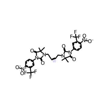 CC1(C)C(=O)N(c2ccc([N+](=O)[O-])c(C(F)(F)F)c2)C(=O)N1C/C=C\CN1C(=O)N(c2ccc([N+](=O)[O-])c(C(F)(F)F)c2)C(=O)C1(C)C